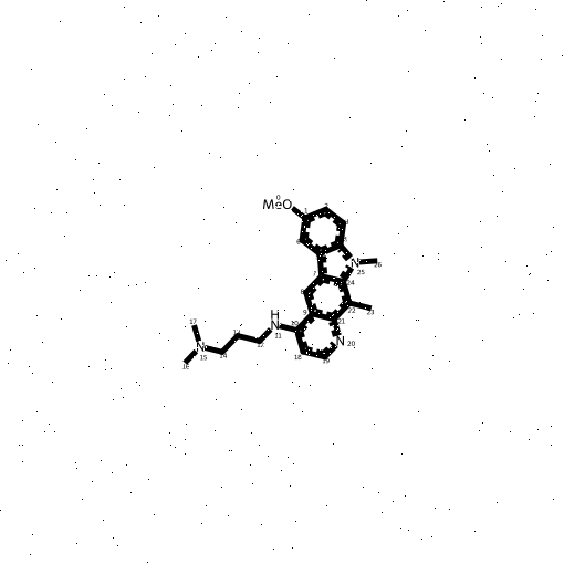 COc1ccc2c(c1)c1cc3c(NCCCN(C)C)ccnc3c(C)c1n2C